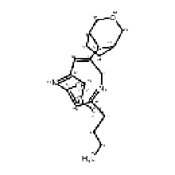 CCCCC1=N\C\C(N2C3CCC2COC3)=C/C(COC)=N/C(C)=C/1